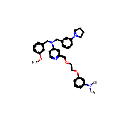 COc1cccc(CN(Cc2cccc(N3CCCC3)c2)c2ccnc(COCCOc3cccc(N(C)C)c3)c2)c1